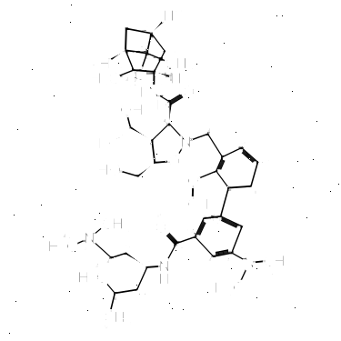 COC1=C(CN2O[C@@H](CO)[C@@H]([C@H](C)O)[C@H]2C(=O)N[C@H]2C[C@H]3C[C@@H]([C@@H]2C)C3(C)C)C=CCC1c1cc(C(=O)N[C@H](CCN(C)C)CC(C)C)cc(N(C)C)c1